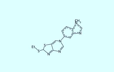 CCSC1N=C2N=CN(c3ccc4c(c3)ncn4C)C=C2S1